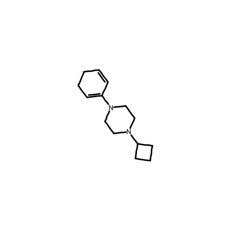 [CH]1C=CC(N2CCN(C3CCC3)CC2)=CC1